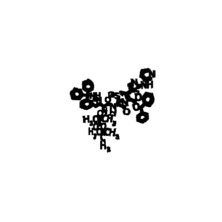 CC(C)(C)OC(=O)C(C)(C)ON=C(C(=O)NC1C(=O)N2C(C(=O)OC(c3ccccc3)c3ccccc3)=C(c3cnc(Nc4cccnc4)s3)C[S+]([O-])C12)c1csc(NC(c2ccccc2)(c2ccccc2)c2ccccc2)n1